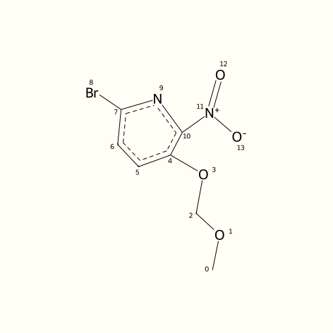 COCOc1ccc(Br)nc1[N+](=O)[O-]